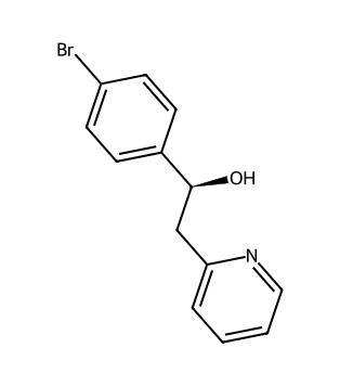 O[C@@H](Cc1ccccn1)c1ccc(Br)cc1